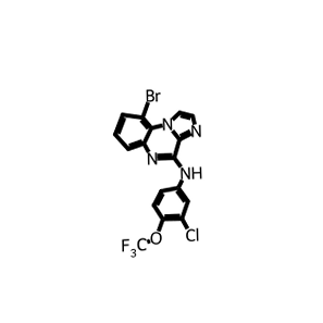 FC(F)(F)Oc1ccc(Nc2nc3cccc(Br)c3n3ccnc23)cc1Cl